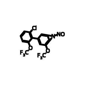 O=NN1c2cc(-c3c(Cl)cccc3OC(F)(F)F)cc(OC(F)(F)F)c21